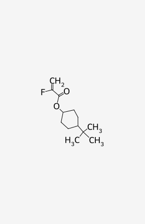 C=C(F)C(=O)OC1CCC(C(C)(C)C)CC1